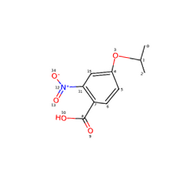 CC(C)Oc1ccc(C(=O)O)c([N+](=O)[O-])c1